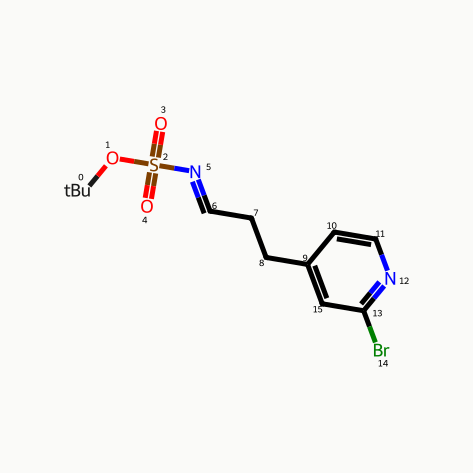 CC(C)(C)OS(=O)(=O)/N=C/CCc1ccnc(Br)c1